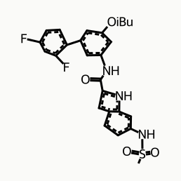 CC(C)COc1cc(NC(=O)c2cc3ccc(NS(C)(=O)=O)cc3[nH]2)cc(-c2ccc(F)cc2F)c1